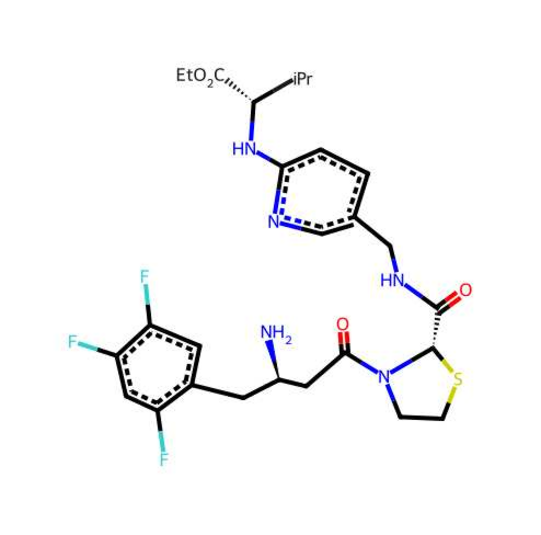 CCOC(=O)[C@@H](Nc1ccc(CNC(=O)[C@@H]2SCCN2C(=O)C[C@H](N)Cc2cc(F)c(F)cc2F)cn1)C(C)C